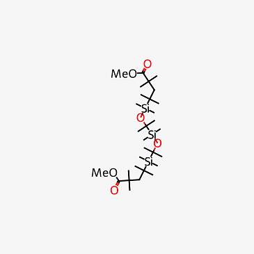 COC(=O)C(C)(C)CC(C)(C)[Si](C)(C)OC(C)(C)[Si](C)(C)OC(C)(C)[Si](C)(C)C(C)(C)CC(C)(C)C(=O)OC